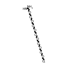 COCCOCCOCCOCCOCCOCCOCCOCCOCCOCCOCCOCCC(=N)N